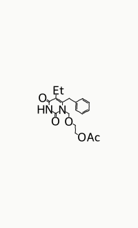 CCc1c(Cc2ccccc2)n(COCCOC(C)=O)c(=O)[nH]c1=O